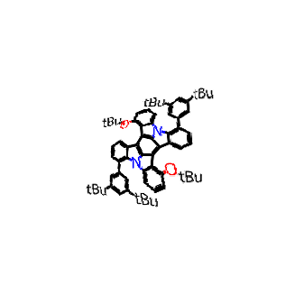 CC(C)(C)Oc1cccc2c1c1c3c4cccc(-c5cc(C(C)(C)C)cc(C(C)(C)C)c5)c4n4c5cccc(OC(C)(C)C)c5c(c5c6cccc(-c7cc(C(C)(C)C)cc(C(C)(C)C)c7)c6n2c51)c34